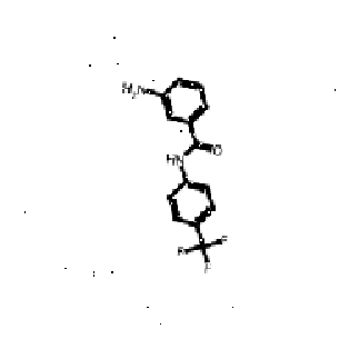 Nc1cccc(C(=O)Nc2ccc(C(F)(F)F)cc2)c1